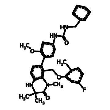 COc1cc(NC(=O)NCc2ccccc2)ccc1-c1ccc2c(c1COc1cc(F)ccc1C)N(C)C(=O)C(C)(C)N2